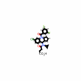 O=C(O)CCC(=O)N(C1CC1)C1c2ccc(Cl)cc2N(C(=O)c2cc(F)cc(F)c2)C2CCCC21